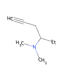 C#CCC(C[CH2])N(C)C